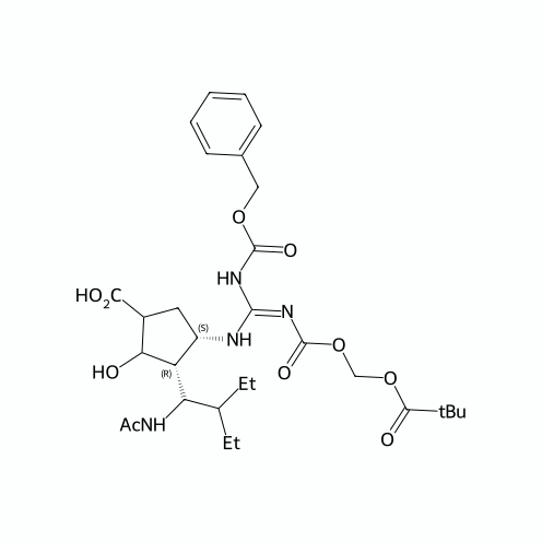 CCC(CC)C(NC(C)=O)[C@@H]1C(O)C(C(=O)O)C[C@@H]1NC(=NC(=O)OCOC(=O)C(C)(C)C)NC(=O)OCc1ccccc1